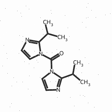 CC(C)c1nccn1C(=O)n1ccnc1C(C)C